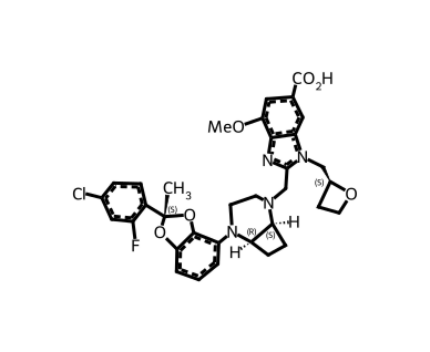 COc1cc(C(=O)O)cc2c1nc(CN1CCN(c3cccc4c3O[C@@](C)(c3ccc(Cl)cc3F)O4)[C@@H]3CC[C@@H]31)n2C[C@@H]1CCO1